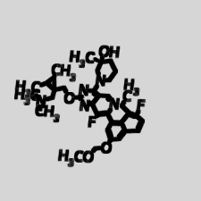 CCc1c(F)ccc2cc(OCOC)cc(-c3ncc4c(N5CCC[C@@](C)(O)C5)nc(OCC5(CN(C)C)C(C)C5C)nc4c3F)c12